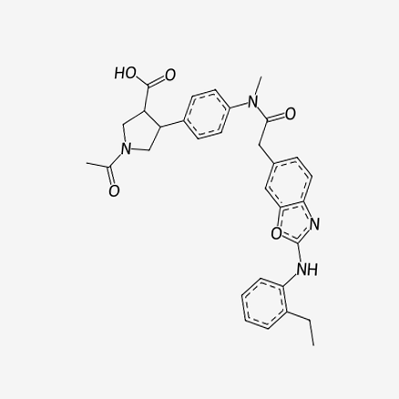 CCc1ccccc1Nc1nc2ccc(CC(=O)N(C)c3ccc(C4CN(C(C)=O)CC4C(=O)O)cc3)cc2o1